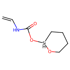 C=CNC(=O)O[SiH]1CCCCO1